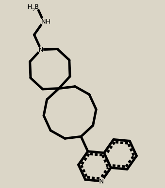 BNCN1CCCC2(CCCCC(c3ccnc4ccccc34)CCCC2)CCC1